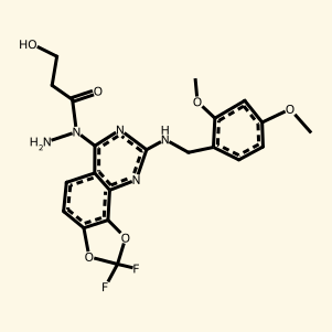 COc1ccc(CNc2nc(N(N)C(=O)CCO)c3ccc4c(c3n2)OC(F)(F)O4)c(OC)c1